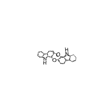 C1=Cc2c([nH]c3c4c(ccc23)Oc2c(ccc3c2[nH]c2ccccc23)O4)CC1